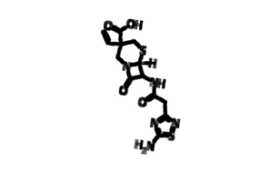 C=CC1(C(=O)O)CS[C@@H]2C(NC(=O)Cc3nsc(N)n3)C(=O)N2C1